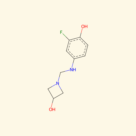 Oc1ccc(NCN2CC(O)C2)cc1F